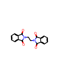 O=C1c2ccccc2C(=O)N1CCN1C(=O)c2ccccc2C1=O